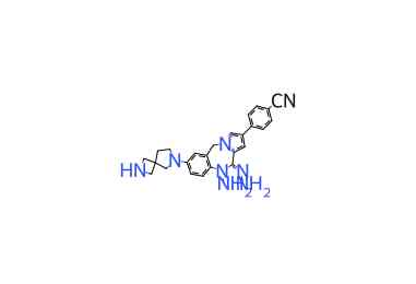 N#Cc1ccc(-c2cc3n(c2)Cc2cc(N4CCC5(CNC5)C4)ccc2N(N)/C3=N\N)cc1